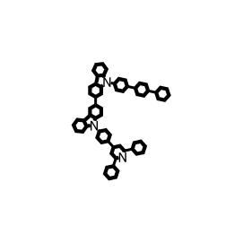 c1ccc(-c2ccc(-c3ccc(-n4c5ccccc5c5ccc(-c6ccc7c(c6)c6ccccc6n7-c6ccc(-c7cc(-c8ccccc8)nc(-c8ccccc8)c7)cc6)cc54)cc3)cc2)cc1